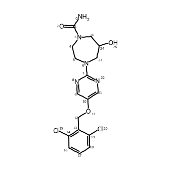 NC(=O)N1CCN(c2ncc(OCc3c(Cl)cccc3Cl)cn2)CC(O)C1